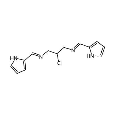 ClC(CN=Cc1ccc[nH]1)CN=Cc1ccc[nH]1